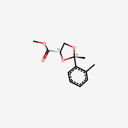 COC(=O)[C@@H]1CO[C@](C)(c2ccccc2C)O1